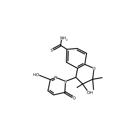 CC1(C)Oc2ccc(C(N)=S)cc2C(n2nc(O)ccc2=O)C1(C)O